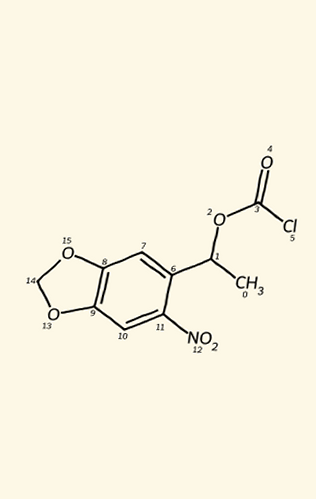 CC(OC(=O)Cl)c1cc2c(cc1[N+](=O)[O-])OCO2